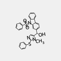 Cn1c(C(O)c2ccc3c4ccccc4n(S(=O)(=O)c4ccccc4)c3c2)cnc1Sc1ccccc1